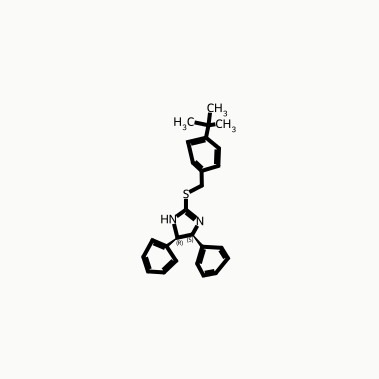 CC(C)(C)c1ccc(CSC2=N[C@@H](c3ccccc3)[C@@H](c3ccccc3)N2)cc1